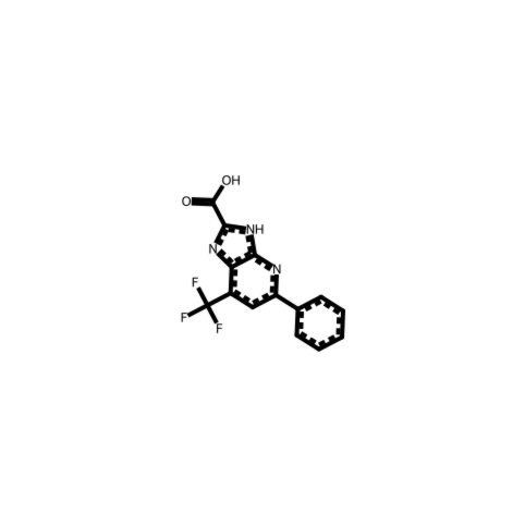 O=C(O)c1nc2c(C(F)(F)F)cc(-c3ccccc3)nc2[nH]1